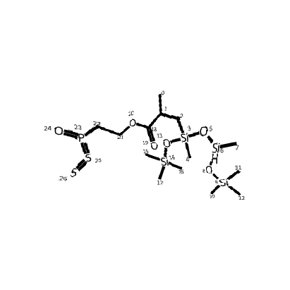 CC(C[Si](C)(O[SiH](C)O[Si](C)(C)C)O[Si](C)(C)C)C(=O)OCCP(=O)=S=S